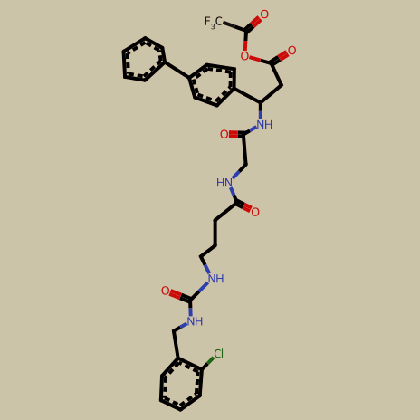 O=C(CCCNC(=O)NCc1ccccc1Cl)NCC(=O)NC(CC(=O)OC(=O)C(F)(F)F)c1ccc(-c2ccccc2)cc1